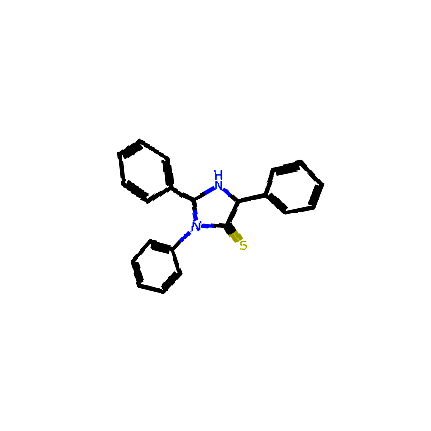 S=C1C(c2ccccc2)NC(c2ccccc2)N1c1ccccc1